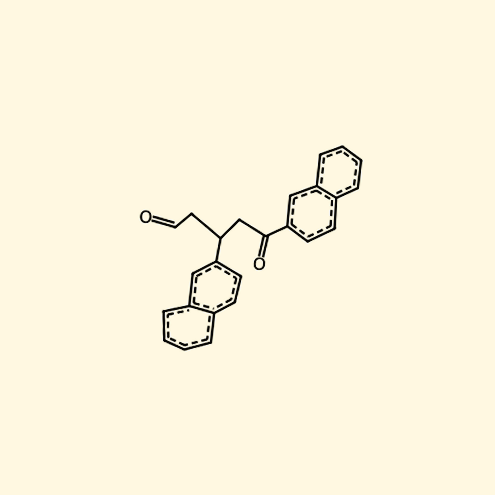 O=CCC(CC(=O)c1ccc2ccccc2c1)c1ccc2ccccc2c1